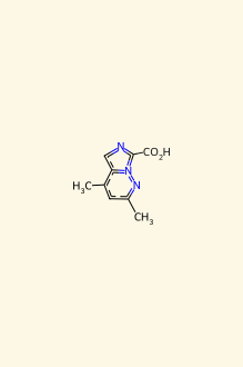 Cc1cc(C)c2cnc(C(=O)O)n2n1